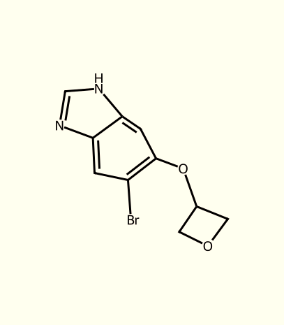 Brc1cc2nc[nH]c2cc1OC1COC1